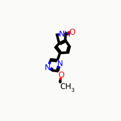 CCOc1cncc(-c2ccc3c(c2)CNC3=O)n1